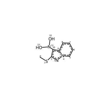 CSc1nn2ccccc2c1N(O)O